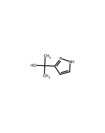 CC(C)(O)c1cc[nH]n1